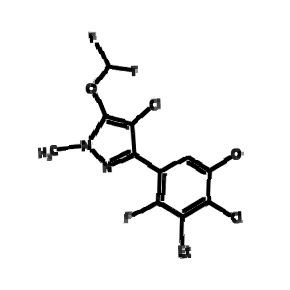 CCc1c(F)c(-c2nn(C)c(OC(F)F)c2Cl)cc([O])c1Cl